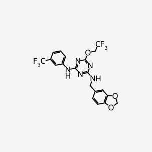 FC(F)(F)COc1nc(NCc2ccc3c(c2)OCO3)nc(Nc2cccc(C(F)(F)F)c2)n1